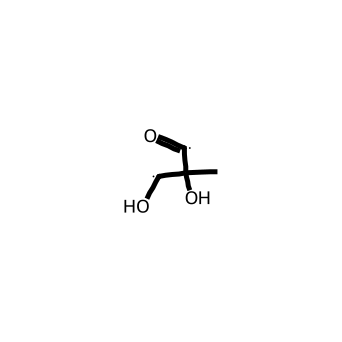 CC(O)([C]=O)[CH]O